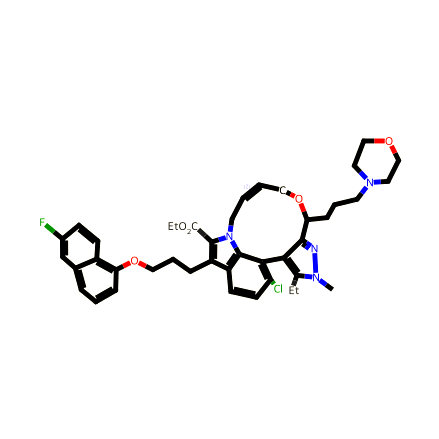 CCOC(=O)c1c(CCCOc2cccc3cc(F)ccc23)c2ccc(Cl)c3c2n1C/C=C\COC(CCCN1CCOCC1)c1nn(C)c(CC)c1-3